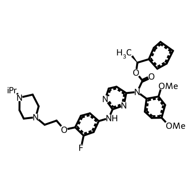 COc1ccc(N(C(=O)O[C@@H](C)c2ccccc2)c2ccnc(Nc3ccc(OCCN4CCN(C(C)C)CC4)c(F)c3)n2)c(OC)c1